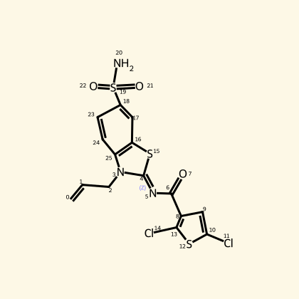 C=CCn1/c(=N/C(=O)c2cc(Cl)sc2Cl)sc2cc(S(N)(=O)=O)ccc21